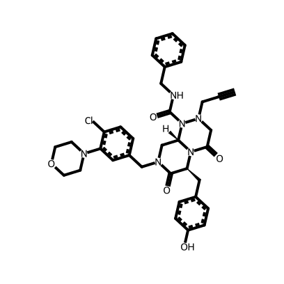 C#CCN1CC(=O)N2[C@@H](Cc3ccc(O)cc3)C(=O)N(Cc3ccc(Cl)c(N4CCOCC4)c3)C[C@@H]2N1C(=O)NCc1ccccc1